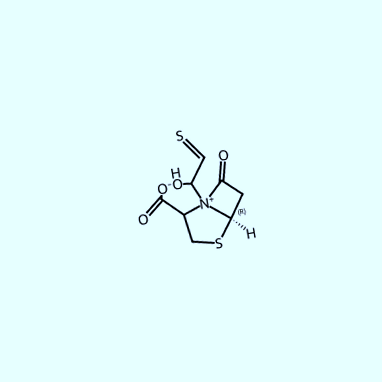 O=C([O-])C1CS[C@@H]2CC(=O)[N+]12C(O)C=S